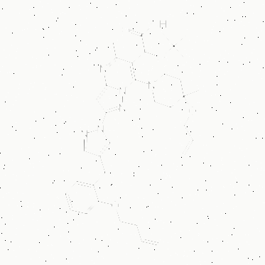 C=CCCOc1ccccc1Cc1cnn(-c2cc3nc(C)c(C(OC(C)(C)C)C(=O)O)c(N4CCC(C)(OCC=C)CC4)n3n2)c1